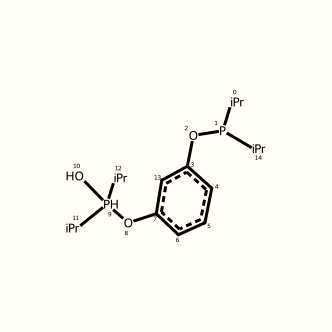 CC(C)P(Oc1cccc(O[PH](O)(C(C)C)C(C)C)c1)C(C)C